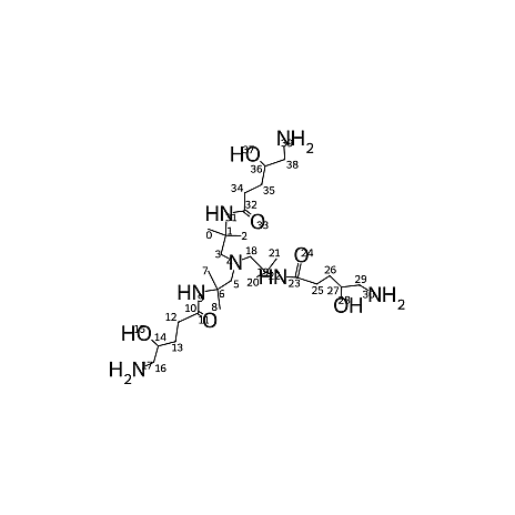 CC(C)(CN(CC(C)(C)NC(=O)CCC(O)CN)CC(C)(C)NC(=O)CCC(O)CN)NC(=O)CCC(O)CN